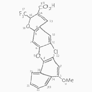 COc1ccc(Oc2cc3c(cc2Cl)C=C(C(=O)O)C(C(F)(F)F)O3)c2ccccc12